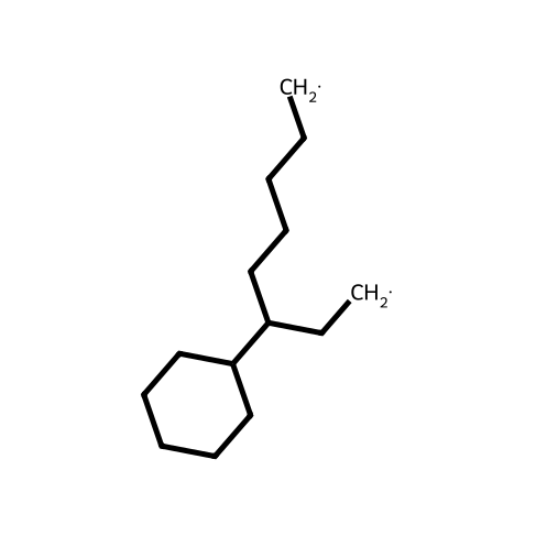 [CH2]CCCCC(C[CH2])C1CCCCC1